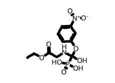 CCOC(=O)CNC(O)(Oc1cccc([N+](=O)[O-])c1)P(=O)(O)O